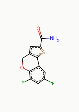 NC(=O)c1cc2c(s1)-c1cc(F)cc(F)c1OC2